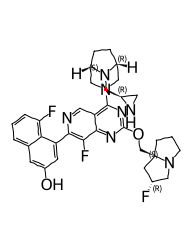 Oc1cc(-c2ncc3c(N4C[C@H]5CC[C@@H](C4)N5C[C@H]4CN4)nc(OC[C@@]45CCCN4C[C@H](F)C5)nc3c2F)c2c(F)cccc2c1